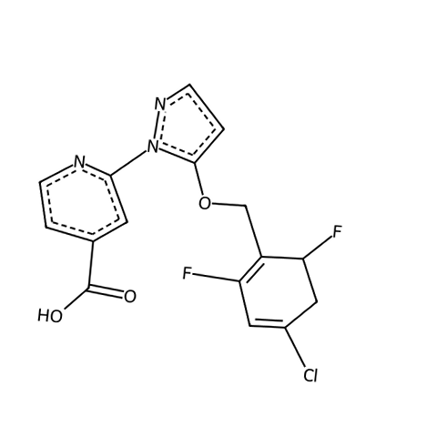 O=C(O)c1ccnc(-n2nccc2OCC2=C(F)C=C(Cl)CC2F)c1